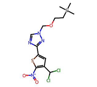 C[Si](C)(C)CCOCn1cnc(-c2cc(C(Cl)Cl)c([N+](=O)[O-])s2)n1